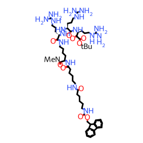 CNC(=O)C(CCCCNC(=O)[C@H](CCCNC(N)N)NN[C@@H](CCCNC(N)N)C(=O)N[C@@H](CCCNC(N)N)C(=O)C(=O)OC(C)(C)C)NC(=O)CCCCCNC(=O)CCCCCNC(=O)OCC1c2ccccc2-c2ccccc21